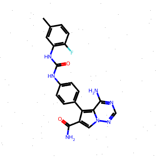 Cc1ccc(F)c(NC(=O)Nc2ccc(-c3c(C(N)=O)cn4ncnc(N)c34)cc2)c1